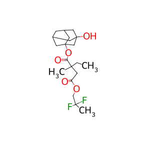 CCC(C)(CC(=O)OCC(C)(F)F)C(=O)OC12CC3CC(CC(O)(C3)C1)C2